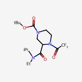 CCN(C(=O)C1CN(C(=O)OC(C)(C)C)CCN1C(=O)C(F)(F)F)C(C)C